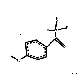 C=C(c1ccc(OC)cc1)C(F)(F)F